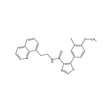 COc1ccc(-c2ocnc2C(=O)NCCc2cccc3cccnc23)cc1I